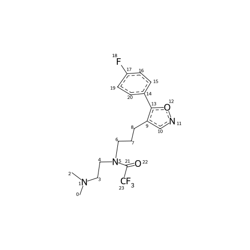 CN(C)CCN(CCCc1cnoc1-c1ccc(F)cc1)C(=O)C(F)(F)F